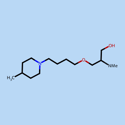 CNC(CO)COCCCCN1CCC(C)CC1